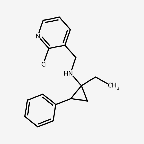 CCC1(NCc2cccnc2Cl)CC1c1ccccc1